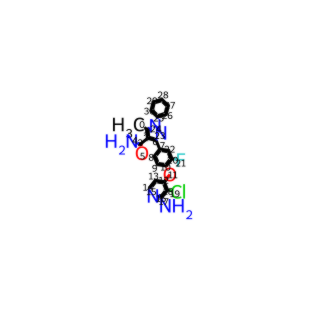 Cc1c(C(N)=O)c(-c2ccc(Oc3ccnc(N)c3Cl)c(F)c2)nn1-c1ccccc1